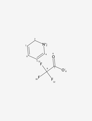 C1=CC[N+]C=C1.O=C([O-])C(F)(F)F